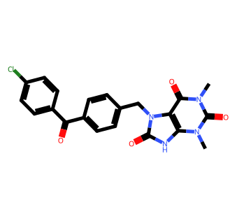 Cn1c(=O)c2c([nH]c(=O)n2Cc2ccc(C(=O)c3ccc(Cl)cc3)cc2)n(C)c1=O